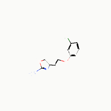 NC1=NC(CCOc2cccc(Cl)c2)CO1